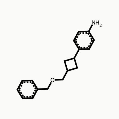 Nc1ccc(C2CC(COCc3ccccc3)C2)cc1